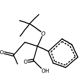 CC(=O)CC(OC(C)(C)C)(C(=O)O)c1ccccc1